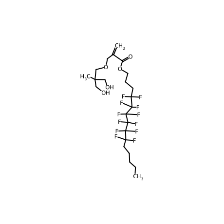 C=C(COCC(C)(CO)CO)C(=O)OCCCC(F)(F)C(F)(F)C(F)(F)C(F)(F)C(F)(F)C(F)(F)CCCCC